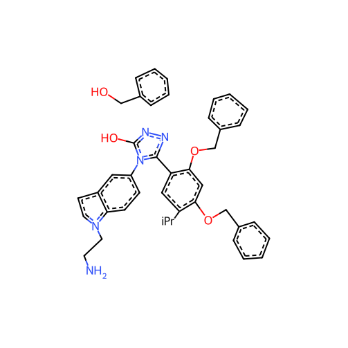 CC(C)c1cc(-c2nnc(O)n2-c2ccc3c(ccn3CCN)c2)c(OCc2ccccc2)cc1OCc1ccccc1.OCc1ccccc1